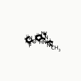 Cn1ccc(Nc2ncnc3ccc(Oc4ncccc4F)cc23)n1